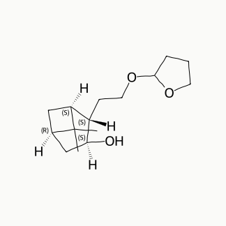 CC1(C)[C@H]2C[C@H](O)[C@@H](CCOC3CCCO3)[C@@H]1C2